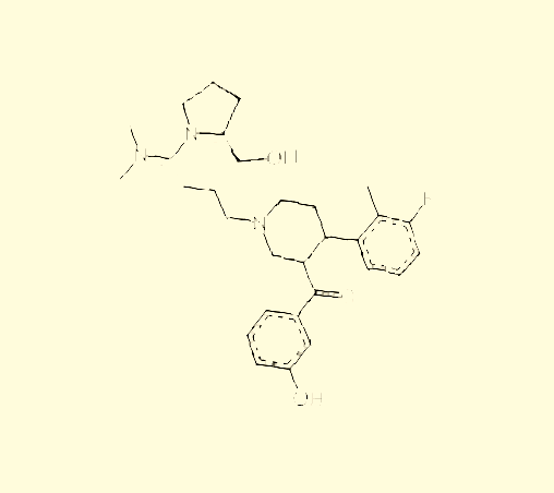 Cc1c(F)cccc1C1[CH]CN(CCC[C@H](N(C)C)N2CCC[C@H]2CO)CC1C(=O)c1cccc(O)c1